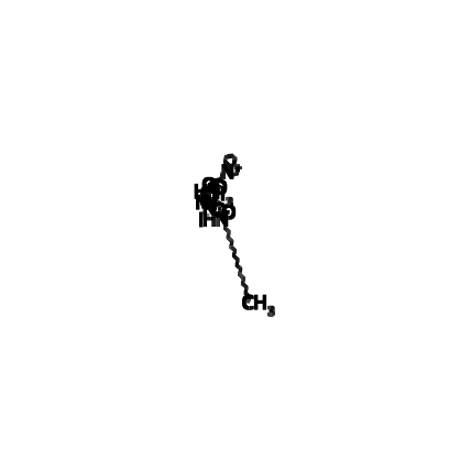 CCCCCCCCCCCCCCCCCCNC(=O)OCC(CNS(=O)(=O)CCC[n+]1cccc2ccccc21)n1ncnc1C.[I-]